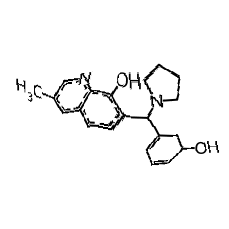 Cc1cnc2c(O)c(C(C3=CC=CC(O)C3)N3CCCC3)ccc2c1